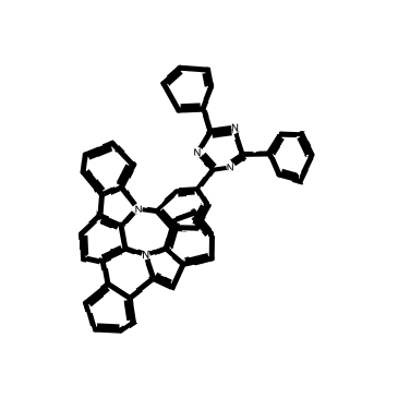 c1ccc(-c2nc(-c3ccccc3)nc(-c3cccc(-n4c5ccccc5c5ccc6c7ccccc7c7cc8ccccc8n7c6c54)c3)n2)cc1